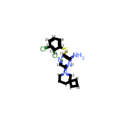 Nc1nc(N2CCCC3(CCC3)C2)cnc1Sc1cccc(Cl)c1Cl